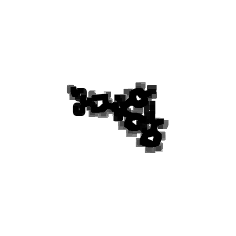 CCOC(=O)N1CCC(c2nc(-c3ccc(F)cc3)c(-c3ccnc(NC(C)c4ccccc4)c3)s2)CC1